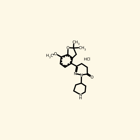 COc1ccc(C2=NN(C3CCNCC3)C(=O)CC2)c2c1OC(C)(C)C2.Cl